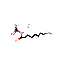 CCCCCCCCCCCCCCCCCC(=O)OC(=O)CCC.[Zr]